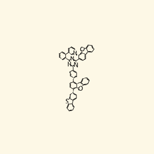 c1cncc(-c2ccccc2-c2nc(-c3ccc(-c4ccc(-c5ccc6c(c5)sc5ccccc56)c5oc6ccccc6c45)cc3)nc(-c3ccc4c(c3)oc3ccccc34)n2)c1